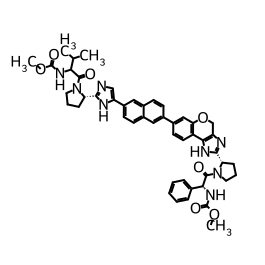 COC(=O)NC(C(=O)N1CCC[C@H]1c1ncc(-c2ccc3cc(-c4ccc5c(c4)OCc4nc([C@@H]6CCCN6C(=O)[C@H](NC(=O)OC)c6ccccc6)[nH]c4-5)ccc3c2)[nH]1)C(C)C